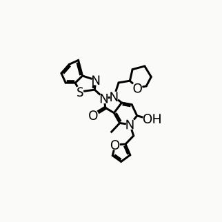 CC1=c2c(n(CC3CCCCO3)n(-c3nc4ccccc4s3)c2=O)=CC(O)N1Cc1ccco1